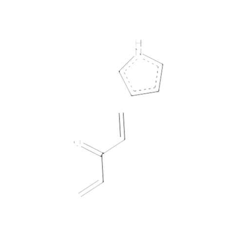 C=CC(=O)C=C.c1cc[nH]c1